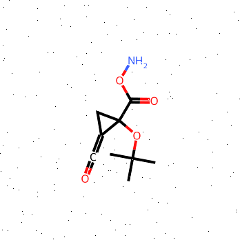 CC(C)(C)OC1(C(=O)ON)CC1=C=O